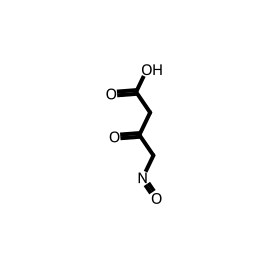 O=NCC(=O)CC(=O)O